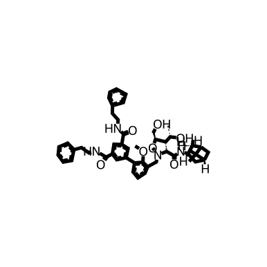 COc1c(CN2O[C@@H](CO)[C@H]([C@H](C)O)C2C(=O)N[C@H]2C[C@H]3C[C@@H]([C@@H]2C)C3(C)C)cccc1-c1cc(C(=O)NCCc2ccccc2)cc(C(=O)NCCc2ccccc2)c1